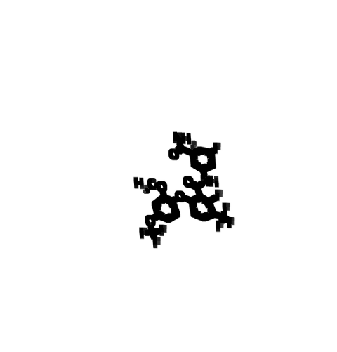 COc1cc(OC(F)(F)F)ccc1Oc1ccc(C(F)(F)F)c(F)c1C(=O)Nc1cc(F)cc(C(N)=O)c1